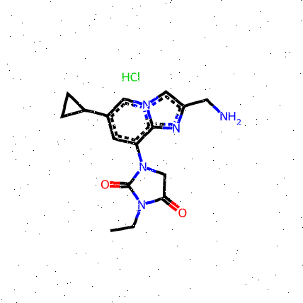 CCN1C(=O)CN(c2cc(C3CC3)cn3cc(CN)nc23)C1=O.Cl